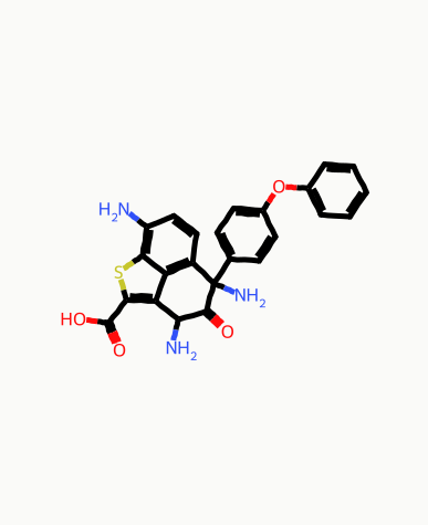 Nc1ccc2c3c(c(C(=O)O)sc13)C(N)C(=O)C2(N)c1ccc(Oc2ccccc2)cc1